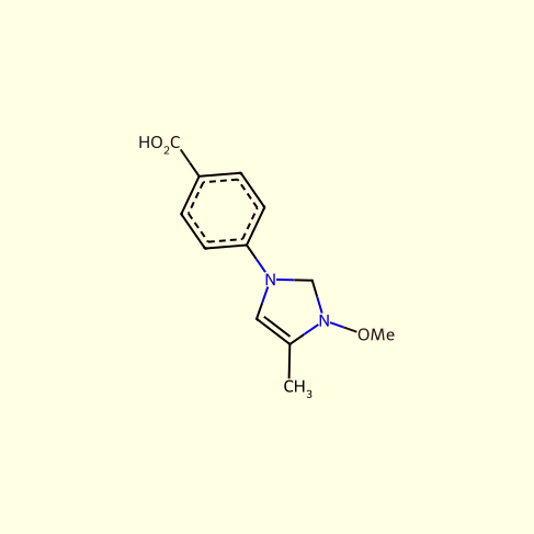 CON1CN(c2ccc(C(=O)O)cc2)C=C1C